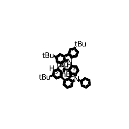 CCCCC(C)(C)c1c(-n2c3ccc(C(C)(C)C)cc3c3cc(C(C)(C)C)ccc32)ccc2c1c1c(-c3cc(C(C)(C)C)cc(C(C)(C)C)c3)cccc1n2-c1ccccc1